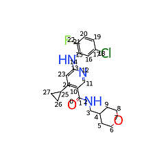 O=C(NCC1CCOCC1)c1cnc(Nc2cc(Cl)ccc2F)cc1C1CC1